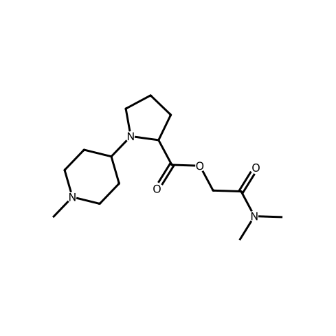 CN1CCC(N2CCCC2C(=O)OCC(=O)N(C)C)CC1